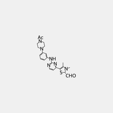 CC(=O)N1CCN(c2cccc(Nc3nccc(C4=C(C)N(C)C(C=O)S4)n3)c2)CC1